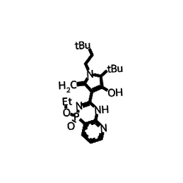 C=C1C(C2=NP(=O)(OCC)c3cccnc3N2)=C(O)C(C(C)(C)C)N1CCC(C)(C)C